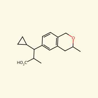 CC1Cc2cc(C(C3CC3)C(C)C(=O)O)ccc2CO1